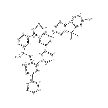 CC1(C)c2cc(C#N)ccc2-c2ccc(-c3cccc4c(-c5cccc(C(N)/N=c6\[nH]cc(-c7ccccc7)cc6-c6ccccc6)c5)cccc34)cc21